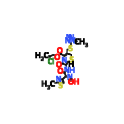 C=C(Cl)COC(=O)C1=C(CSc2nnnn2C)CS[C@H]2C(NC(=O)C(=NO)c3csc(C)n3)C(=O)N12